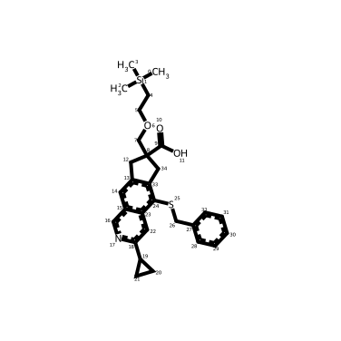 C[Si](C)(C)CCOCC1(C(=O)O)Cc2cc3cnc(C4CC4)cc3c(SCc3ccccc3)c2C1